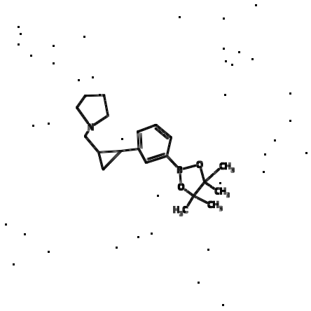 CC1(C)OB(c2cccc(C3CC3CN3CCCC3)c2)OC1(C)C